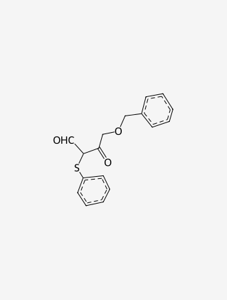 O=CC(Sc1ccccc1)C(=O)COCc1ccccc1